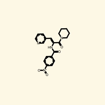 O=C(NC(=Cc1cccnc1)C(=O)N1CCCCC1)c1ccc([N+](=O)[O-])cc1